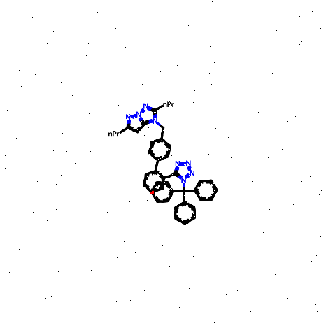 CCCc1cc2n(Cc3ccc(-c4ccccc4-c4nnnn4C(c4ccccc4)(c4ccccc4)c4ccccc4)cc3)c(CCC)nn2n1